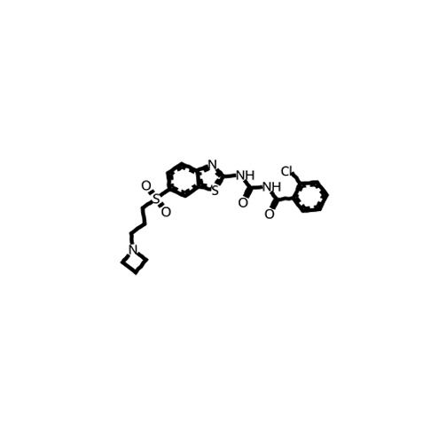 O=C(NC(=O)c1ccccc1Cl)Nc1nc2ccc(S(=O)(=O)CCCN3CCC3)cc2s1